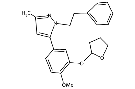 COc1ccc(-c2cc(C)nn2CCc2ccccc2)cc1OC1CCCO1